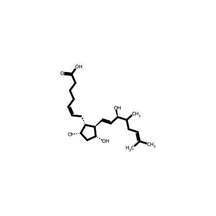 CC(C)=CCC(C)[C@H](O)/C=C/[C@@H]1[C@@H](C/C=C\CCCC(=O)O)[C@@H](Cl)C[C@H]1O